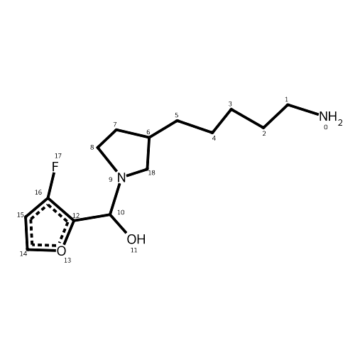 NCCCCCC1CCN(C(O)c2occc2F)C1